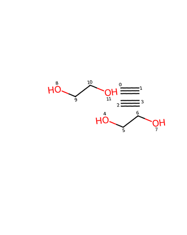 C#C.C#C.OCCO.OCCO